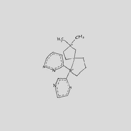 C[N+]1(C)CCC2(CCC[N+]2(c2cnccn2)c2cccnn2)C1